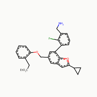 CCOC(=O)Cc1ccccc1OCc1cc(-c2cccc(CN)c2F)c2oc(C3CC3)cc2c1